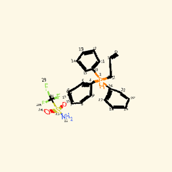 C=CC[PH](c1ccccc1)(c1ccccc1)c1ccccc1.NS(=O)(=O)C(F)(F)F